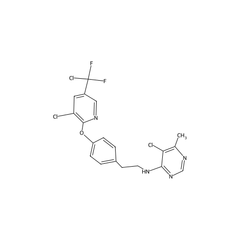 Cc1ncnc(NCCc2ccc(Oc3ncc(C(F)(F)Cl)cc3Cl)cc2)c1Cl